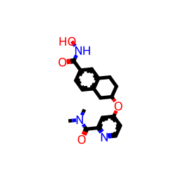 CN(C)C(=O)c1cc(OC2CCc3cc(C(=O)NO)ccc3C2)ccn1